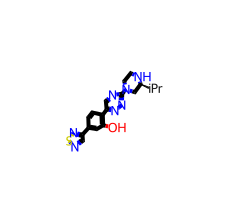 CC(C)[C@H]1CN(c2ncc(-c3ccc(-c4cnsn4)cc3O)nn2)CCN1